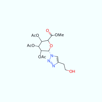 COC(=O)C1O[C@H](n2cc(CCO)nn2)C(OC(C)=O)C(OC(C)=O)C1OC(C)=O